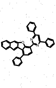 c1ccc(-c2cc(-c3ccccc3)nc(-c3ccc(-c4ccccc4)c4c3oc3cc5ccccc5cc34)n2)cc1